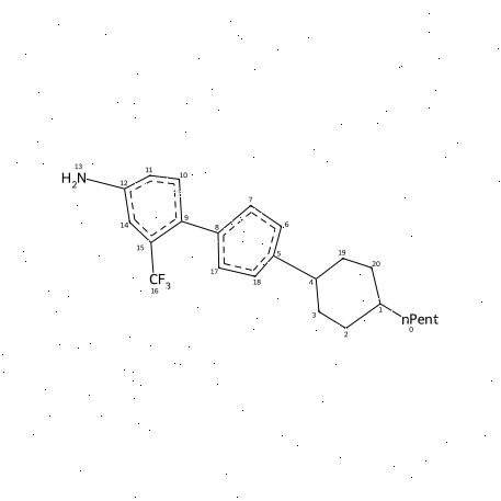 CCCCCC1CCC(c2ccc(-c3ccc(N)cc3C(F)(F)F)cc2)CC1